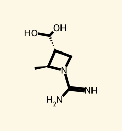 C[C@H]1[C@H](C(O)O)CN1C(=N)N